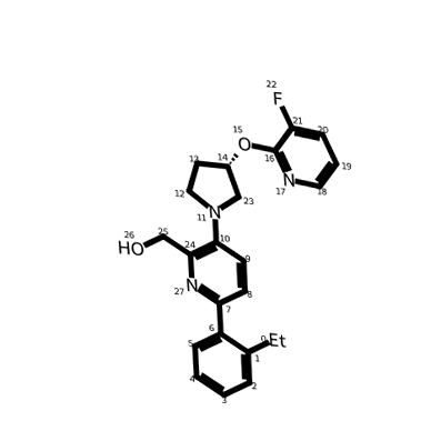 CCc1ccccc1-c1ccc(N2CC[C@H](Oc3ncccc3F)C2)c(CO)n1